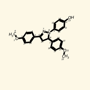 COc1ccc(C2=NN(c3ccc(O)cc3)C(c3ccc(OC)cc3)C2)cc1